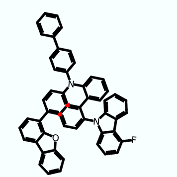 Fc1cccc2c1c1ccccc1n2-c1ccccc1-c1ccccc1N(c1ccc(-c2ccccc2)cc1)c1ccc(-c2cccc3c2oc2ccccc23)cc1